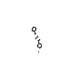 CCCCCc1ccc(C(=O)Oc2cnc(-c3ccc(OCC(C)CC)cc3)cn2)c(F)c1